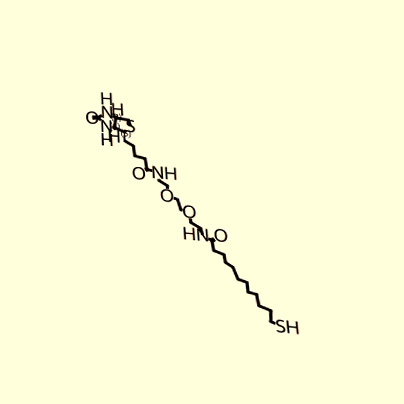 O=C(CCCCCCCCCCCS)NCCOCCOCCNC(=O)CCCC[C@@H]1SC[C@@H]2NC(=O)N[C@@H]21